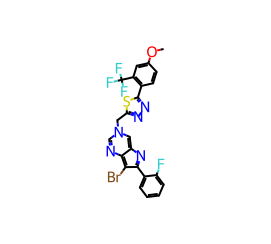 COc1ccc(-c2nnc(Cn3cnc4c(Br)c(-c5ccccc5F)nc-4c3)s2)c(C(F)(F)F)c1